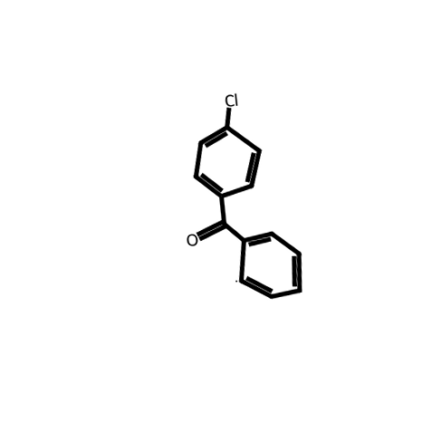 O=C(c1[c]cccc1)c1ccc(Cl)cc1